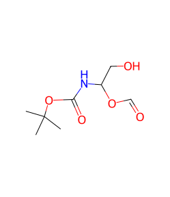 CC(C)(C)OC(=O)NC(CO)OC=O